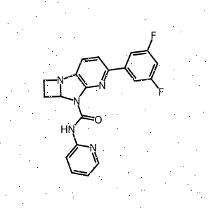 O=C(Nc1ccccn1)N1c2nc(-c3cc(F)cc(F)c3)ccc2N2CCC21